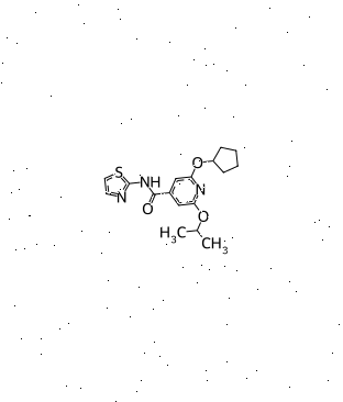 CC(C)Oc1cc(C(=O)Nc2nccs2)cc(OC2CCCC2)n1